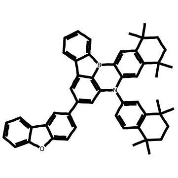 CC1(C)CCC(C)(C)c2cc(N3c4cc5c(cc4B4c6ccccc6-c6cc(-c7ccc8oc9ccccc9c8c7)cc3c64)C(C)(C)CCC5(C)C)ccc21